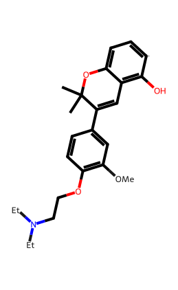 CCN(CC)CCOc1ccc(C2=Cc3c(O)[c]ccc3OC2(C)C)cc1OC